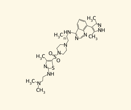 Cc1nc(NCCN(C)C)sc1S(=O)(=O)N1CCN(C[C@H](C)Nc2ncnc3c(-c4c(C)n[nH]c4C)cccc23)CC1